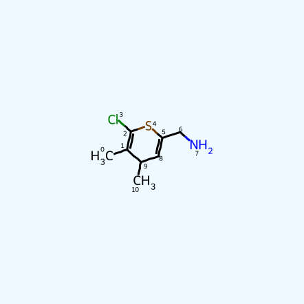 CC1=C(Cl)SC(CN)=CC1C